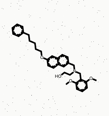 COc1cccc(OC)c1CN(CCO)Cc1ccc2cc(OCCCCCc3ccccc3)ccc2c1